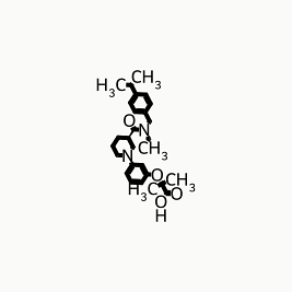 CCN(Cc1ccc(C(C)C)cc1)C(=O)[C@@H]1CCCN(c2cccc(OC(C)(C)C(=O)O)c2)C1